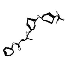 CC(/C=C/C(=O)Oc1ccccc1)Oc1ccc(Oc2ccc(C(F)(F)F)cc2)cc1